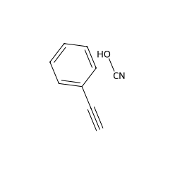 C#Cc1ccccc1.N#CO